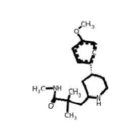 CNC(=O)C(C)(C)CC1C[C@H](c2ccc(OC)cc2)CCN1